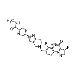 CNC(=O)c1ccc(-n2cc3c(n2)CCN(Cc2ccc4c([nH]c(=O)c5c(F)cnn54)c2F)C3)cn1